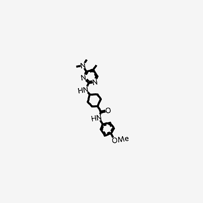 COc1ccc(NC(=O)C2CCC(Nc3ncc(C)c(N(C)C)n3)CC2)cc1